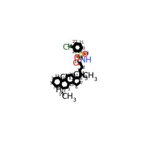 CC[C@H]1CC2C3CC[C@H]([C@H](C)CCC(=O)NS(=O)(=O)c4cccc(Cl)c4)[C@@]3(C)CCC2[C@@]2(C)CCCC[C@@H]12